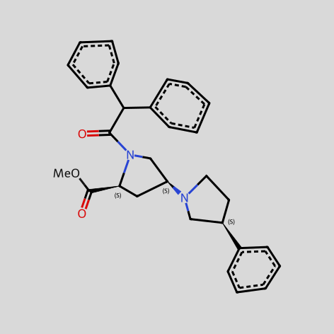 COC(=O)[C@@H]1C[C@H](N2CC[C@@H](c3ccccc3)C2)CN1C(=O)C(c1ccccc1)c1ccccc1